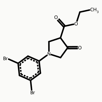 CCOC(=O)C1CN(c2cc(Br)cc(Br)c2)CC1=O